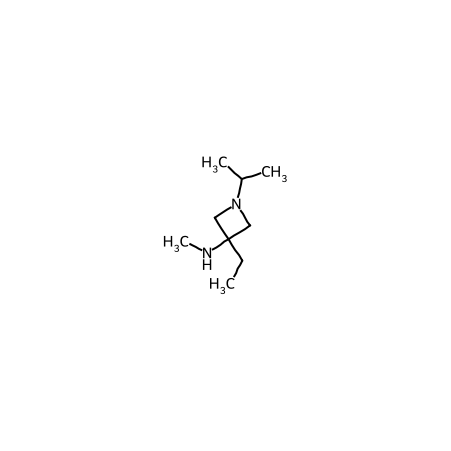 CCC1(NC)CN(C(C)C)C1